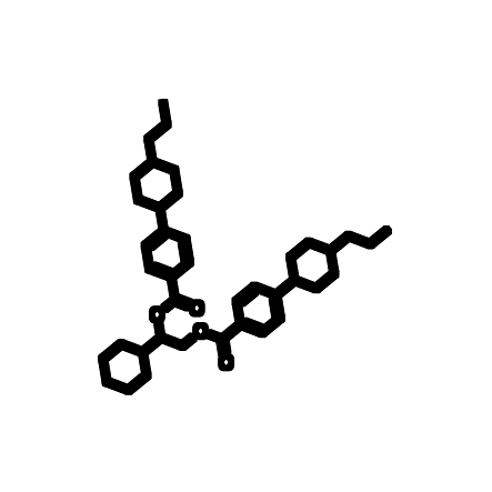 CCCC1CCC(c2ccc(C(=O)OCC(OC(=O)c3ccc(C4CCC(CCC)CC4)cc3)C3CCCCC3)cc2)CC1